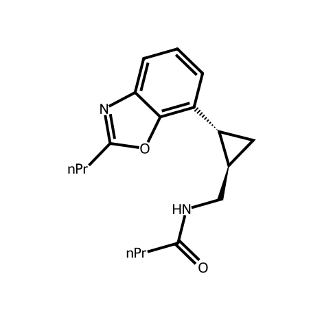 CCCC(=O)NC[C@@H]1C[C@H]1c1cccc2nc(CCC)oc12